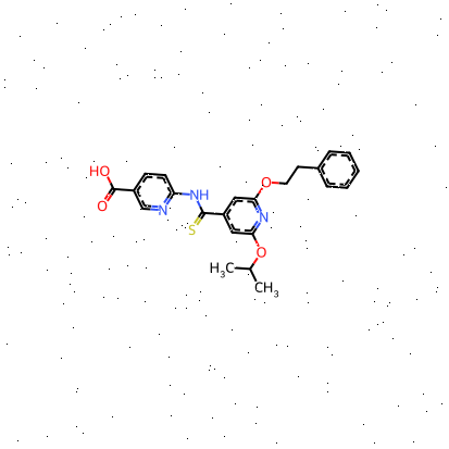 CC(C)Oc1cc(C(=S)Nc2ccc(C(=O)O)cn2)cc(OCCc2ccccc2)n1